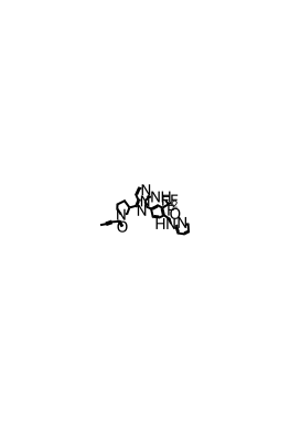 CC#CC(=O)N1CCCC(c2nc(-c3ccc(C(=O)Nc4ccccn4)c(C(F)(F)F)c3)n3c(N)nccc23)C1